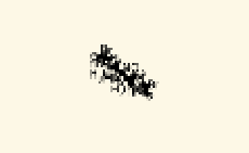 Cc1c(-c2n[nH]c(-c3cnc4c(Br)c(=O)[nH]n4c3C)c2[N+](=O)[O-])cnc2c(Br)c(=O)[nH]n12